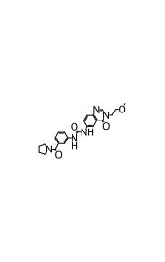 COCCn1cnc2ccc(NC(=O)Nc3cccc(C(=O)N4CCCC4)c3)cc2c1=O